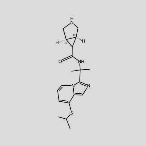 CC(C)Sc1cccn2c(C(C)(C)NC(=O)C3[C@H]4CNC[C@@H]34)ncc12